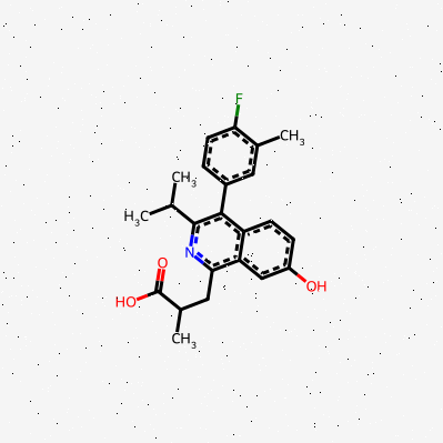 Cc1cc(-c2c(C(C)C)nc(CC(C)C(=O)O)c3cc(O)ccc23)ccc1F